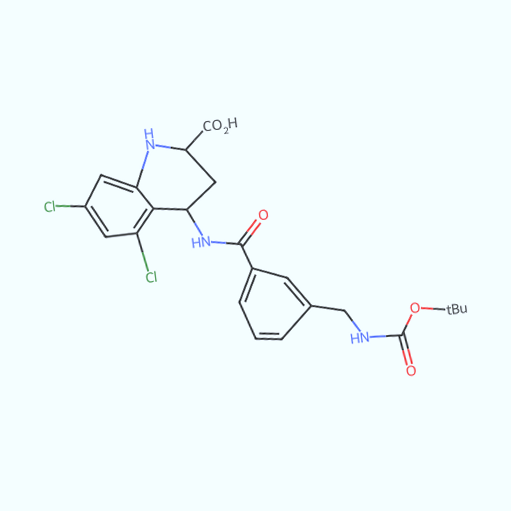 CC(C)(C)OC(=O)NCc1cccc(C(=O)NC2CC(C(=O)O)Nc3cc(Cl)cc(Cl)c32)c1